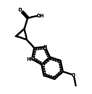 COc1ccc2[nH]c(C3CC3C(=O)O)nc2c1